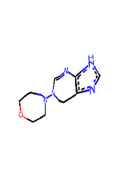 C1=Nc2[nH]cnc2CN1N1CCOCC1